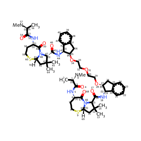 CN[C@@H](C)C(=O)N[C@H]1CCS[C@H]2CC(C)(C)C(C(=O)N[C@H]3c4ccccc4C[C@H]3OCCOCCO[C@@H]3Cc4ccccc4[C@@H]3NC(=O)[C@H]3N4C(=O)[C@@H](NC(=O)[C@H](C)NC)CCS[C@H]4CC3(C)C)N2C1=O